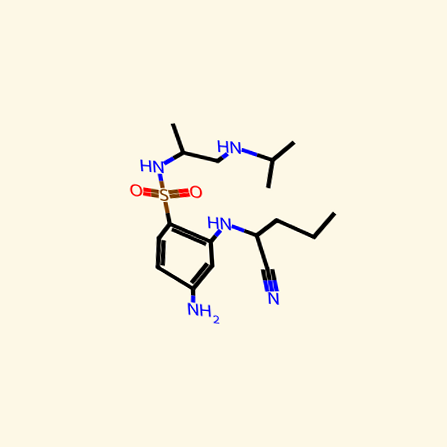 CCCC(C#N)Nc1cc(N)ccc1S(=O)(=O)NC(C)CNC(C)C